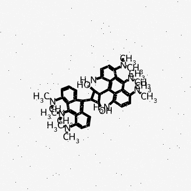 CN(C)c1cccc2c(C3C(O)C(c4c5c(N)ccc(N(C)C)c5c(N(C)C)c5c(N(C)C)ccc(N)c45)C3O)c3cccc(N(C)C)c3c(N(C)C)c12